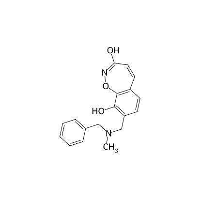 CN(Cc1ccccc1)Cc1ccc2c(c1O)ON=C(O)C=C2